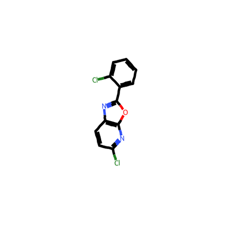 Clc1ccc2nc(-c3ccccc3Cl)oc2n1